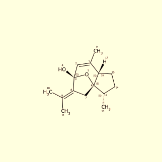 CC1=C[C@]2(O)O[C@@]3(CC2=C(C)C)[C@@H](C)CC[C@@H]13